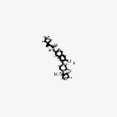 Cc1cc2cnc(NC(=O)C3CC34CCOC4)cc2cc1N1CCN(C2(C)COCC2O)CC1